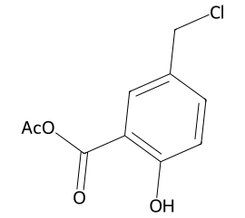 CC(=O)OC(=O)c1cc(CCl)ccc1O